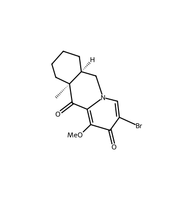 COc1c2n(cc(Br)c1=O)C[C@@H]1CCCC[C@]1(C)C2=O